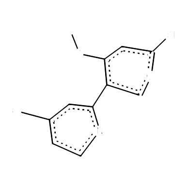 CSc1cc(Cl)ccc1-c1cc(Cl)ccn1